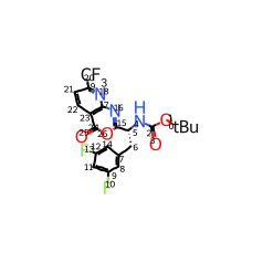 CC(C)(C)OC(=O)N[C@H](Cc1cc(F)cc(F)c1)c1nc2nc(C(F)(F)F)ccc2c(=O)o1